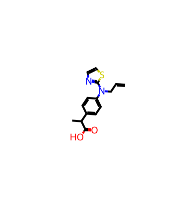 C=CCN(c1ccc(C(C)C(=O)O)cc1)c1nccs1